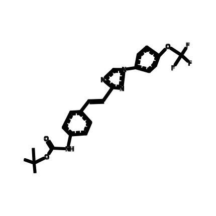 CC(C)(C)OC(=O)Nc1ccc(C=Cc2ncn(-c3ccc(OC(F)(F)F)cc3)n2)cc1